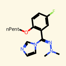 CCCCCOc1ccc(F)cc1C(=NN(C)C)n1ccnc1